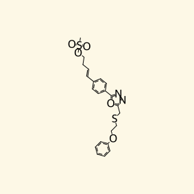 CS(=O)(=O)OCCC=Cc1ccc(-c2nnc(CSCCOc3ccccc3)o2)cc1